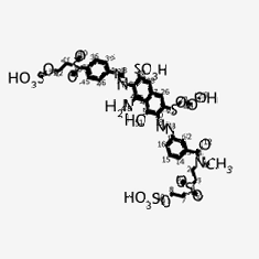 CN(CCS(=O)(=O)CCOS(=O)(=O)O)C(=O)c1cccc(/N=N/c2c(SOOO)cc3cc(S(=O)(=O)O)c(/N=N/c4ccc(S(=O)(=O)CCOS(=O)(=O)O)cc4)c(N)c3c2O)c1